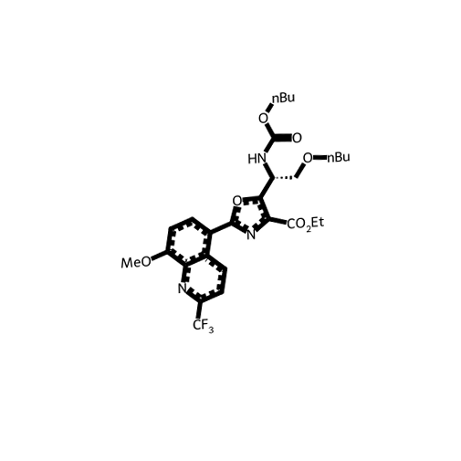 CCCCOC[C@@H](NC(=O)OCCCC)c1oc(-c2ccc(OC)c3nc(C(F)(F)F)ccc23)nc1C(=O)OCC